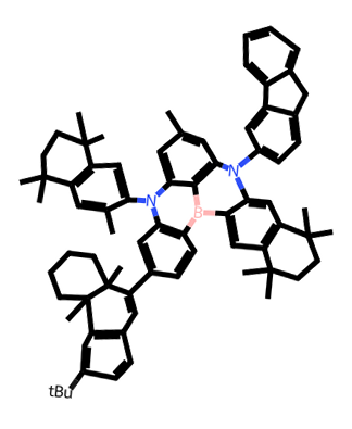 Cc1cc2c3c(c1)N(c1cc4c(cc1C)C(C)(C)CCC4(C)C)c1cc(C4=Cc5ccc(C(C)(C)C)cc5C5(C)CCCCC45C)ccc1B3c1cc3c(cc1N2c1ccc2c(c1)-c1ccccc1C2)C(C)(C)CCC3(C)C